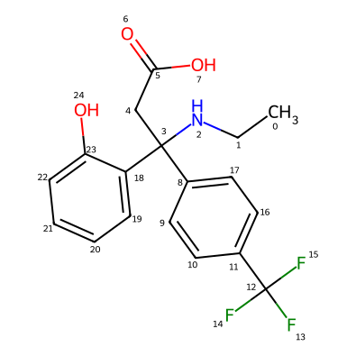 CCNC(CC(=O)O)(c1ccc(C(F)(F)F)cc1)c1ccccc1O